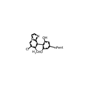 CCCCCc1cc(O)c(-c2c(C)c(Cl)cn3ccnc23)c(O)c1